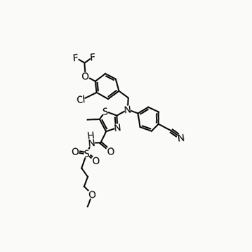 COCCCS(=O)(=O)NC(=O)c1nc(N(Cc2ccc(OC(F)F)c(Cl)c2)c2ccc(C#N)cc2)sc1C